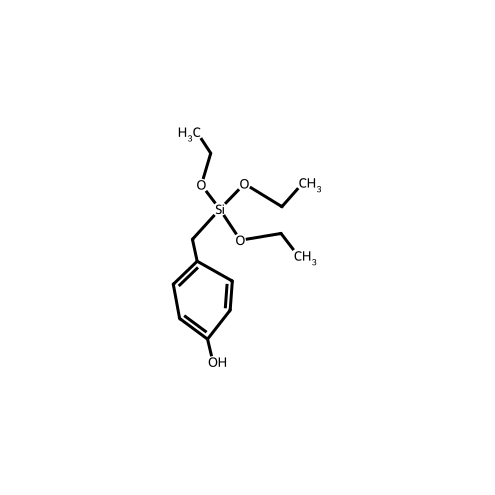 CCO[Si](Cc1ccc(O)cc1)(OCC)OCC